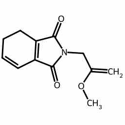 C=C(CN1C(=O)C2=C(CCC=C2)C1=O)OC